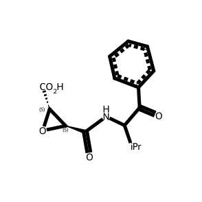 CC(C)C(NC(=O)[C@H]1O[C@@H]1C(=O)O)C(=O)c1ccccc1